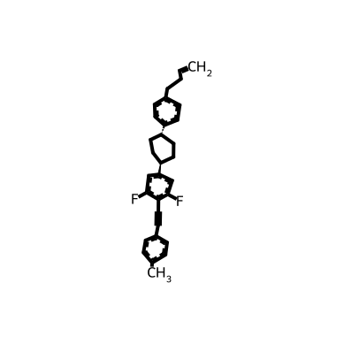 C=CCCc1ccc([C@H]2CC[C@H](c3cc(F)c(C#Cc4ccc(C)cc4)c(F)c3)CC2)cc1